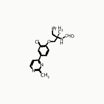 Cc1nccc(-c2ccc(OC[C@](C)(CC(C)C)NC=O)c(Cl)c2)n1